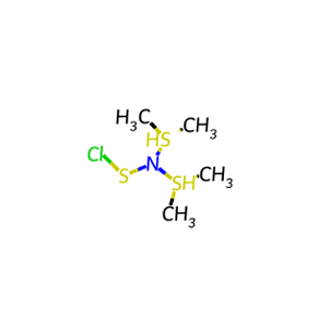 C[SH](C)N(SCl)[SH](C)C